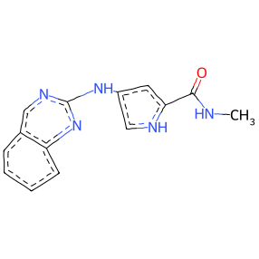 CNC(=O)c1cc(Nc2ncc3ccccc3n2)c[nH]1